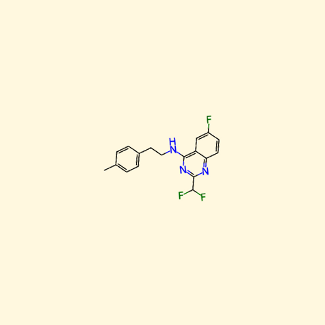 Cc1ccc(CCNc2nc(C(F)F)nc3ccc(F)cc23)cc1